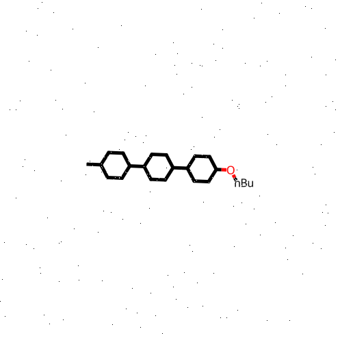 CCCCOC1CCC(C2CCC(C3CCC(C)CC3)CC2)CC1